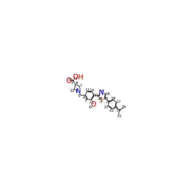 COc1cc(CN2CC(C(=O)O)C2)ccc1-c1ncc(-c2ccc(C(C)C)cc2)s1